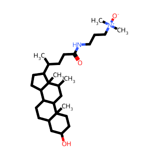 CC(CCC(=O)NCCC[N+](C)(C)[O-])C1CCC2C3CCC4CC(O)CCC4(C)C3CC(C)C12C